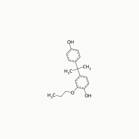 CCCOc1cc(C(C)(C)c2ccc(O)cc2)ccc1O